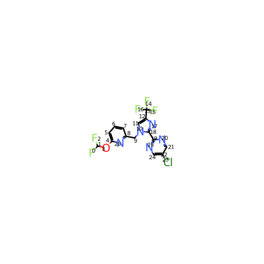 FC(F)Oc1cccc(Cn2cc(C(F)(F)F)nc2-c2ncc(Cl)cn2)n1